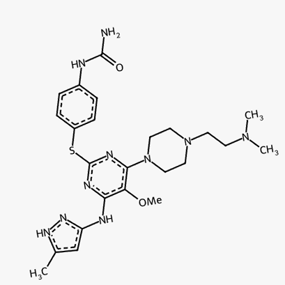 COc1c(Nc2cc(C)[nH]n2)nc(Sc2ccc(NC(N)=O)cc2)nc1N1CCN(CCN(C)C)CC1